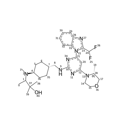 CC(N(C)[C@H]1CC[C@H](CNc2nc(N3CCOC[C@H]3C)cc(-n3c(C(F)F)nc4ccccc43)n2)CC1)C(C)(C)O